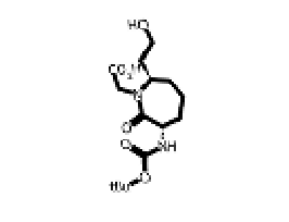 CC(C)(C)OC(=O)N[C@H]1CCC[C@H](CCO)N(CC(=O)O)C1=O